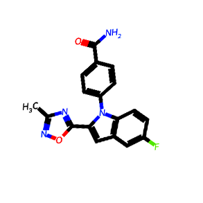 Cc1noc(-c2cc3cc(F)ccc3n2-c2ccc(C(N)=O)cc2)n1